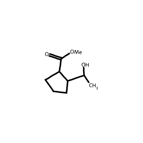 COC(=O)C1CCCC1C(C)O